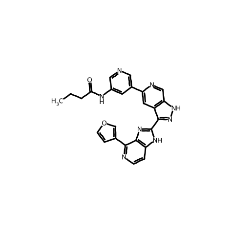 CCCC(=O)Nc1cncc(-c2cc3c(-c4nc5c(-c6ccoc6)nccc5[nH]4)n[nH]c3cn2)c1